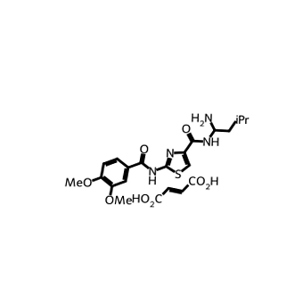 COc1ccc(C(=O)Nc2nc(C(=O)NC(N)CC(C)C)cs2)cc1OC.O=C(O)C=CC(=O)O